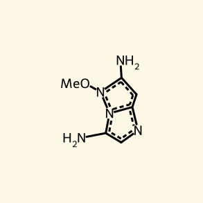 COn1c(N)cc2ncc(N)n21